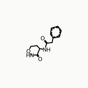 O=C(Cc1ccccc1)NC1CCONC1=O